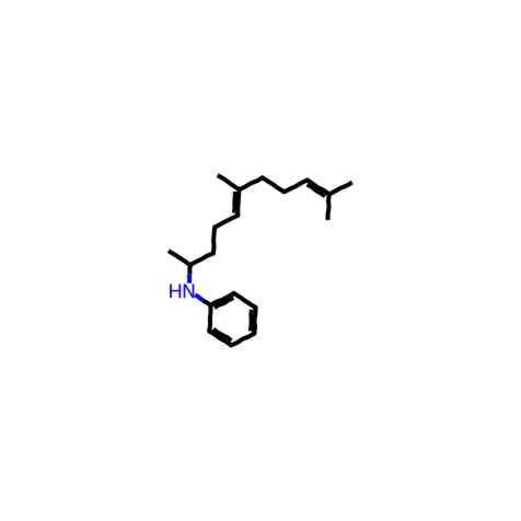 CC(C)=CCC/C(C)=C/CCC(C)Nc1ccccc1